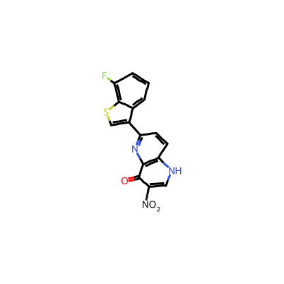 O=c1c([N+](=O)[O-])c[nH]c2ccc(-c3csc4c(F)cccc34)nc12